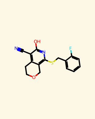 N#Cc1c(O)nc(SCc2ccccc2F)c2c1CCOC2